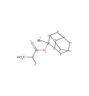 CCC(C)C1(OC(=O)C(C)C(=O)O)C2CC3CC(C2)CC1C3